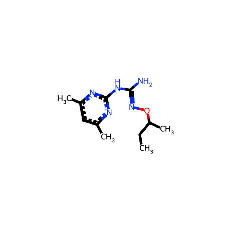 CCC(C)ON=C(N)Nc1nc(C)cc(C)n1